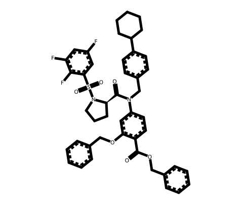 O=C(OCc1ccccc1)c1ccc(N(Cc2ccc(C3CCCCC3)cc2)C(=O)[C@H]2CCCN2S(=O)(=O)c2cc(F)cc(F)c2F)cc1OCc1ccccc1